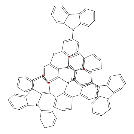 C1=CCCC(n2c3ccccc3c3cccc(-c4cccc(-c5cccc(-c6ccccc6)c5Nc5ccccc5)c4N4c5cc(-n6c7ccccc7c7ccccc76)ccc5B5c6ccc(-n7c8ccccc8c8ccccc87)cc6Sc6cc(-c7ccccc7)cc4c65)c32)=C1